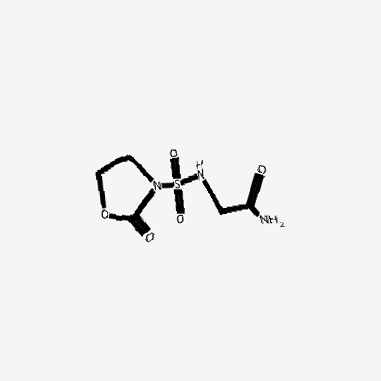 NC(=O)CNS(=O)(=O)N1CCOC1=O